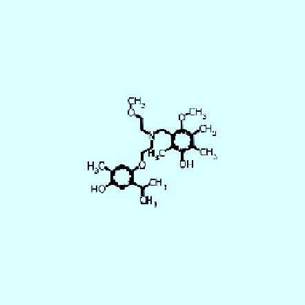 COCCN(CCOc1cc(C)c(O)cc1C(C)C)Cc1c(C)c(O)c(C)c(C)c1OC